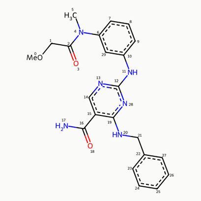 COCC(=O)N(C)c1cccc(Nc2ncc(C(N)=O)c(NCc3ccccc3)n2)c1